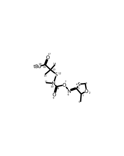 CC1OCSC1=NOC(=O)N(C)SC(C)(C)C(=O)C(C)(C)C